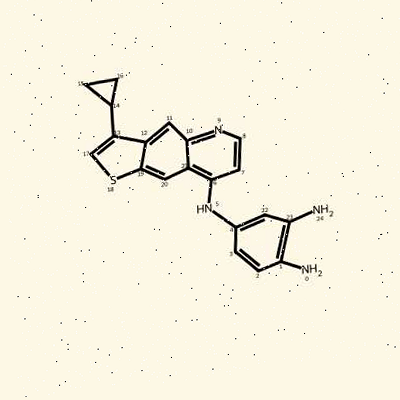 Nc1ccc(Nc2ccnc3cc4c(C5CC5)csc4cc23)cc1N